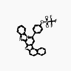 O=S(=O)(Oc1ccc(-c2cc3c(sc4ccc5ccccc5c43)c3nc4ccccc4n23)cc1)C(F)(F)F